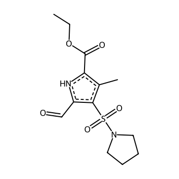 CCOC(=O)c1[nH]c(C=O)c(S(=O)(=O)N2CCCC2)c1C